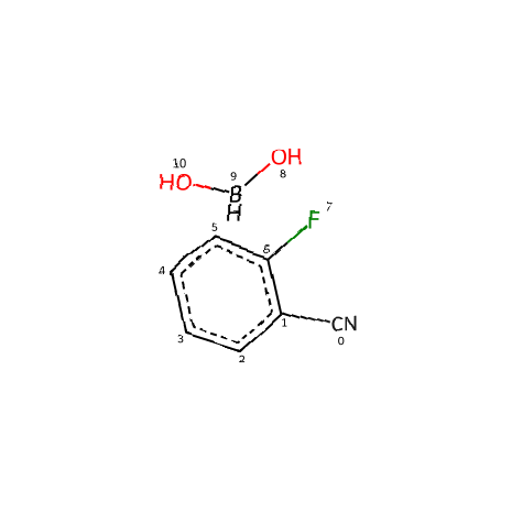 N#Cc1ccccc1F.OBO